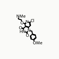 CNCCOc1nc(Cl)cc2c1c(=O)[nH]c(=O)n2Cc1ccc(OC)cc1